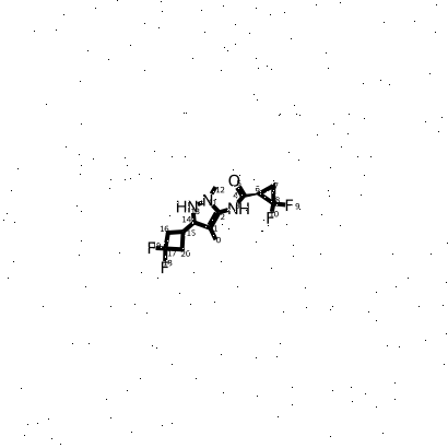 CC1=C(NC(=O)[C@H]2CC2(F)F)N(C)NC1C1CC(F)(F)C1